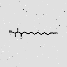 CCCCCCCCCCCCCCCCCC(=O)NNCC